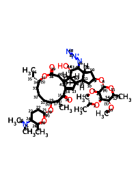 CCOC1C(OC)[C@H](O[C@H]2C[C@H]3[C@@H]4C=C5C(=O)[C@H](C)[C@@H](O[C@H]6CC[C@H](N(C)C)C(C)O6)CCC[C@H](CC)OC(=O)C[C@H]5[C@@H]4[C@H](O)C(N=[N+]=[N-])[C@@H]3C2)OC(C)[C@@H]1OC